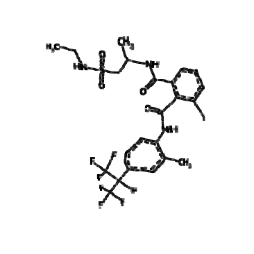 CCNS(=O)(=O)CC(C)NC(=O)c1cccc(I)c1C(=O)Nc1ccc(C(F)(C(F)(F)F)C(F)(F)F)cc1C